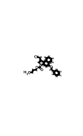 CCCCOC(=O)N1CC(CCl)c2c1cc(OCc1ccccc1)c1ccccc21